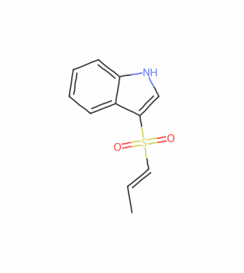 CC=CS(=O)(=O)c1c[nH]c2ccccc12